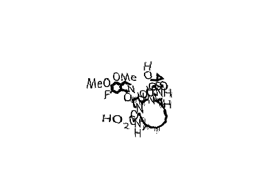 COc1cc2c(OC)cnc(O[C@@H]3C[C@H]4C(=O)N[C@]5(C(=O)NS(=O)(=O)C6(CO)CC6)C[C@H]5C=CCC[C@H](C)C[C@@H](C)[C@H](NC(=O)O)C(=O)N4C3)c2cc1F